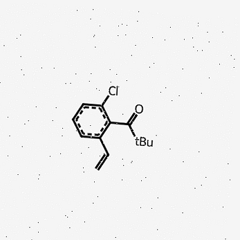 C=Cc1cccc(Cl)c1C(=O)C(C)(C)C